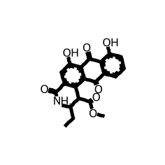 CCC(C)C(C(=O)OC)c1c(C(N)=O)cc(O)c2c1C(=O)c1cccc(O)c1C2=O